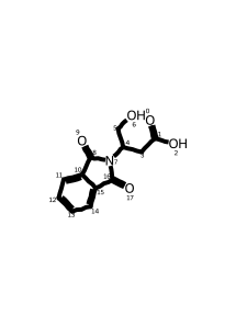 O=C(O)CC(CO)N1C(=O)c2ccccc2C1=O